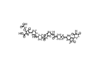 Cn1c(=O)n(C2CCC(=O)NC2=O)c2ccc(N3CC4(CCN(C(=O)Nc5cccc(CS(=O)(=O)N6CCC(Nc7cccc(-c8sc(C(=O)O)c(OCC(=O)O)c8Cl)c7)CC6)c5)CC4)C3)cc21